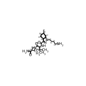 CC(C)(C)[C@H](NC(=O)c1nn(CCCCN)c2cc(F)ccc12)C(=O)N1CC(C(N)=O)C1